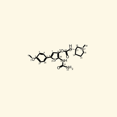 COc1ccc(-c2cc(OC(=O)N[C@H]3CCCN(C)C3)c(NC(N)=O)s2)cc1